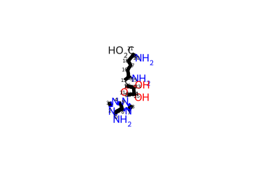 Nc1ncnc2c1ncn2[C@@H]1O[C@H](C[C@@H](N)CCC[C@H](N)C(=O)O)C(O)[C@@H]1O